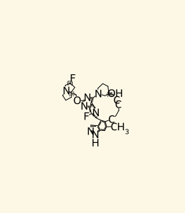 Cc1cc2[nH]ncc2c2c1CCCCCC[C@@]1(O)CCCN(C1)c1nc(OC[C@@]34CCCN3C[C@H](F)C4)nc3c(F)c-2ncc13